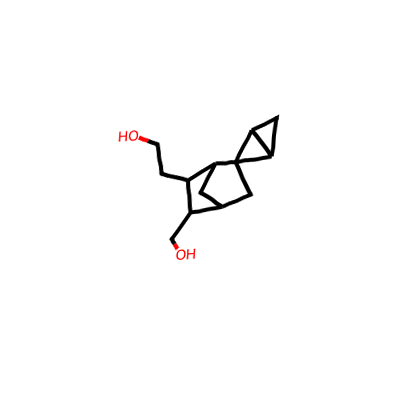 OCCC1C(CO)C2CC1C1(C2)C2CC21